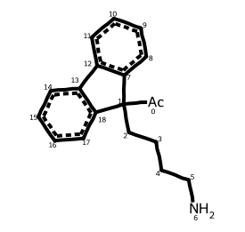 CC(=O)C1(CCCCN)c2ccccc2-c2ccccc21